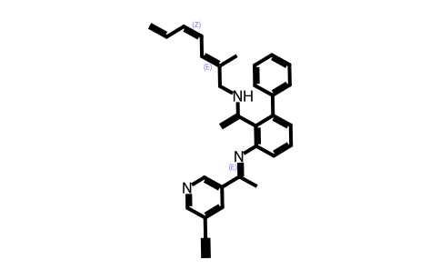 C#Cc1cncc(/C(C)=N/c2cccc(-c3ccccc3)c2C(=C)NC/C(C)=C/C=C\C=C)c1